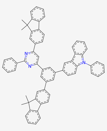 CC1(C)c2ccccc2-c2ccc(-c3cc(-c4ccc5c(c4)c4ccccc4n5-c4ccccc4)cc(-c4cc(-c5ccc6c(c5)C(C)(C)c5ccccc5-6)nc(-c5ccccc5)n4)c3)cc21